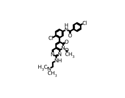 COn1c(=O)c(-c2cc(NC(=O)c3ccc(Cl)cc3)ccc2Cl)cc2cnc(NCCN(C)C)nc21